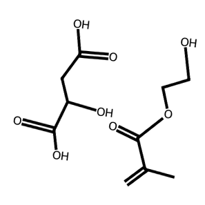 C=C(C)C(=O)OCCO.O=C(O)CC(O)C(=O)O